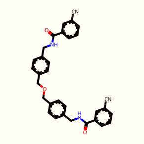 N#Cc1cccc(C(=O)NCc2ccc(COCc3ccc(CNC(=O)c4cccc(C#N)c4)cc3)cc2)c1